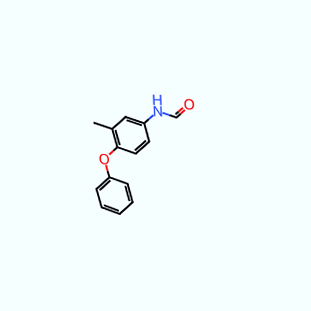 Cc1cc(NC=O)ccc1Oc1ccccc1